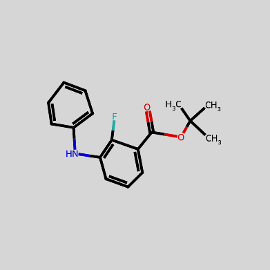 CC(C)(C)OC(=O)c1cccc(Nc2ccccc2)c1F